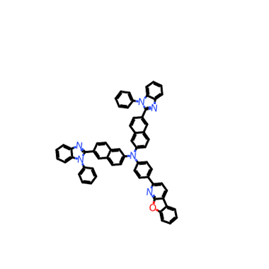 c1ccc(-n2c(-c3ccc4cc(N(c5ccc(-c6ccc7c(n6)oc6ccccc67)cc5)c5ccc6cc(-c7nc8ccccc8n7-c7ccccc7)ccc6c5)ccc4c3)nc3ccccc32)cc1